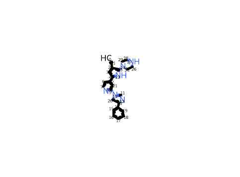 C#Cc1cc(-c2ccnc(-n3cnc(-c4ccccc4)c3)c2)[nH]c1N1CCNCC1